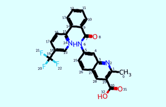 Cc1nc2cc(NC(=O)c3ccccc3-c3ccc(C(F)(F)F)cn3)ccc2cc1C(=O)O